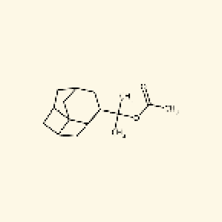 CC(=O)OC(C)(C)C12CC3CC4CC(C1)C4(C3)C2